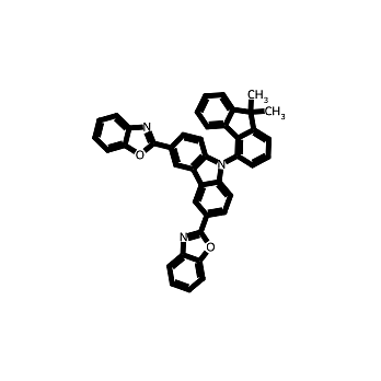 CC1(C)c2ccccc2-c2c(-n3c4ccc(-c5nc6ccccc6o5)cc4c4cc(-c5nc6ccccc6o5)ccc43)cccc21